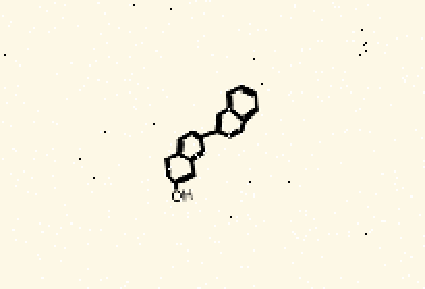 Oc1ccc2ccc(-c3ccc4ccccc4c3)cc2c1